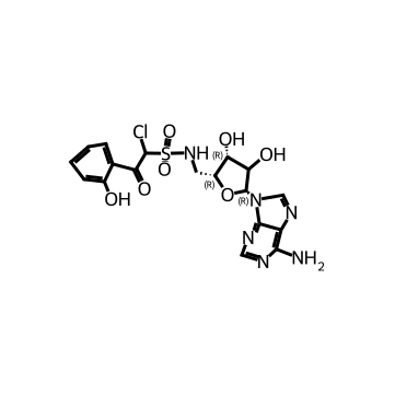 Nc1ncnc2c1ncn2[C@@H]1O[C@H](CNS(=O)(=O)C(Cl)C(=O)c2ccccc2O)[C@H](O)C1O